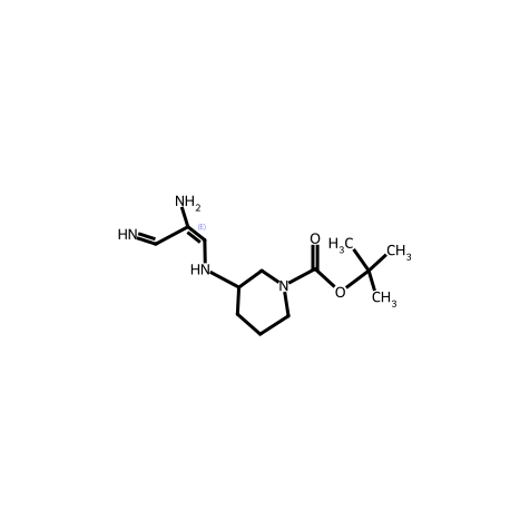 CC(C)(C)OC(=O)N1CCCC(N/C=C(/N)C=N)C1